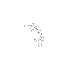 Cc1c(COc2ncnc(NC(Cc3c[nH]cn3)C(=O)O)n2)cccc1-c1ccccc1